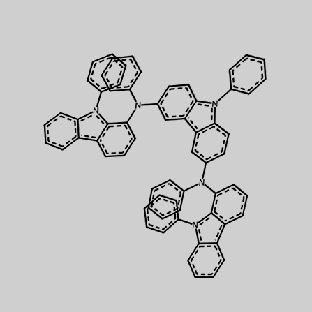 c1ccc(N(c2ccc3c(c2)c2cc(N(c4ccccc4)c4cccc5c6ccccc6n(-c6ccccc6)c45)ccc2n3-c2ccccc2)c2cccc3c4ccccc4n(-c4ccccc4)c23)cc1